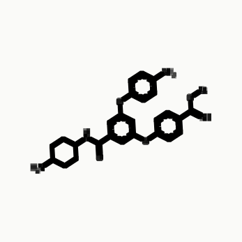 CCOC(=N)c1ccc(Oc2cc(Oc3ccc(N)cc3)cc(C(=O)NC3CCC(N)CC3)c2)cc1